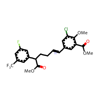 COC(=O)c1cc(/C=C/CCC(C(=O)OC)c2cc(F)cc(C(F)(F)F)c2)cc(Cl)c1OC